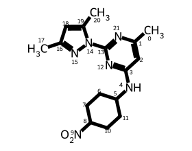 Cc1cc(NC2CCC([N+](=O)[O-])CC2)nc(-n2nc(C)cc2C)n1